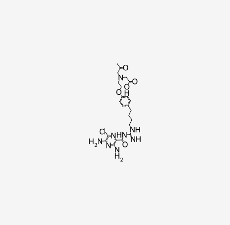 CC(=O)CN(CCOc1ccc(CCCCNC(=N)NC(=O)c2nc(Cl)c(N)nc2N)cc1)CC(=O)O